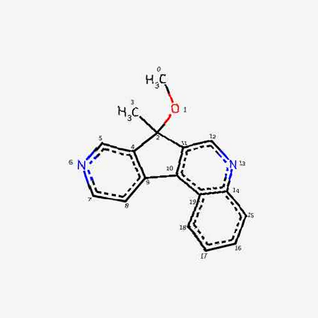 COC1(C)c2cnccc2-c2c1cnc1ccccc21